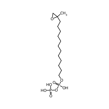 CC1(CCCCCCCCCCCCOP(=O)(O)OP(=O)(O)O)CO1